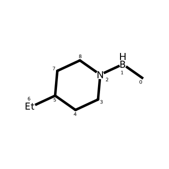 CBN1CCC(CC)CC1